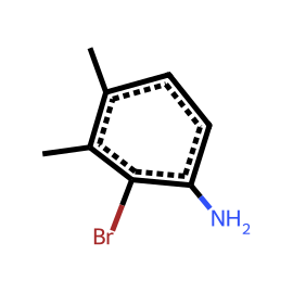 Cc1ccc(N)c(Br)c1C